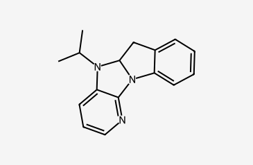 CC(C)N1c2cccnc2N2c3ccccc3CC21